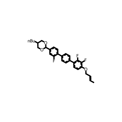 C/C=C/COc1ccc(-c2ccc(-c3ccc(C4OCC(CCCC)CO4)cc3F)cc2)c(F)c1F